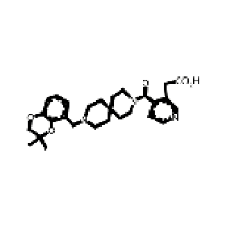 CC1(C)COc2cccc(CN3CCC4(CC3)CCN(C(=O)c3ccncc3CC(=O)O)CC4)c2O1